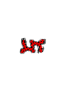 CC(Oc1ccc(-c2ccc(N(c3ccc(-c4ccc5c(c4)c4cc(-c6ccc7c(c6)c6cc(-c8ccc(N(c9ccc(-c%10ccc(OC(F)=C(F)F)cc%10)cc9)c9ccc%10c(c9)C(C)(C)c9ccccc9-%10)cc8)ccc6n7-c6ccccc6)ccc4n5-c4ccccc4)cc3)c3ccc4c(c3)C(C)(C)c3ccccc3-4)cc2)cc1)=C(F)F